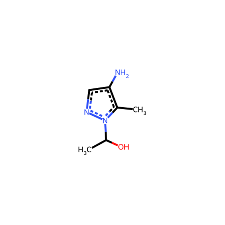 Cc1c(N)cnn1C(C)O